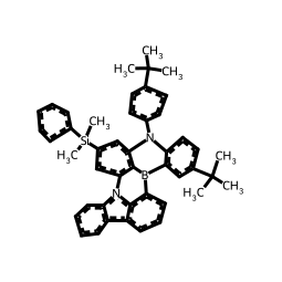 CC(C)(C)c1ccc(N2c3ccc(C(C)(C)C)cc3B3c4c2cc([Si](C)(C)c2ccccc2)cc4-n2c4ccccc4c4cccc3c42)cc1